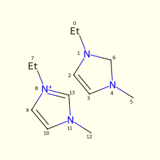 CCN1C=CN(C)C1.CC[n+]1ccn(C)c1